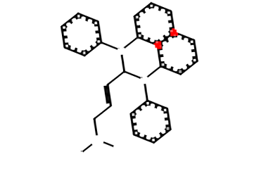 [Cl][Pd]([Cl])[CH2]C=CC(P(c1ccccc1)c1ccccc1)P(c1ccccc1)c1ccccc1